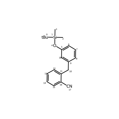 CC(C)(C)[Si](C)(C)Oc1cccc(Cc2ccccc2C#N)c1